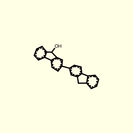 OC1c2ccccc2-c2ccc(-c3ccc4c(c3)Cc3ccccc3-4)cc21